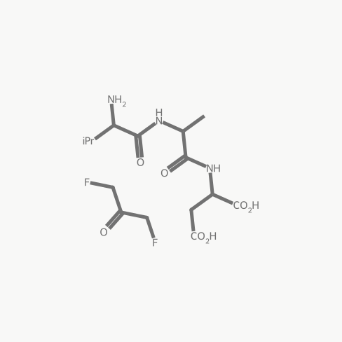 CC(NC(=O)C(N)C(C)C)C(=O)NC(CC(=O)O)C(=O)O.O=C(CF)CF